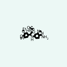 CCOc1cc(C(Nc2ccc3c(N)ncnc3c2)C(=O)NS(C)(=O)=O)ccc1OC(C)C